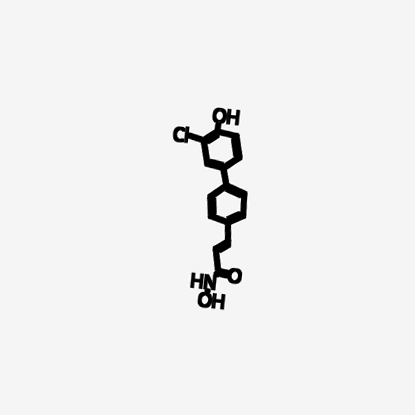 O=C(C=Cc1ccc(-c2ccc(O)c(Cl)c2)cc1)NO